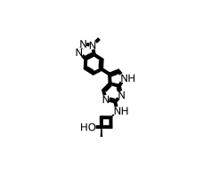 Cn1nnc2ccc(-c3c[nH]c4nc(N[C@H]5C[C@@](C)(O)C5)ncc34)cc21